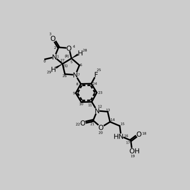 CN1C(=O)O[C@@H]2CN(c3ccc(N4CC(CNC(=O)O)OC4=O)cc3F)C[C@@H]21